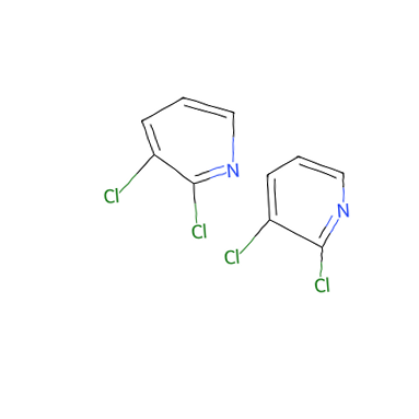 Clc1cccnc1Cl.Clc1cccnc1Cl